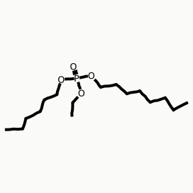 CCCCCCCCOP(=O)(OCC)OCCCCCC